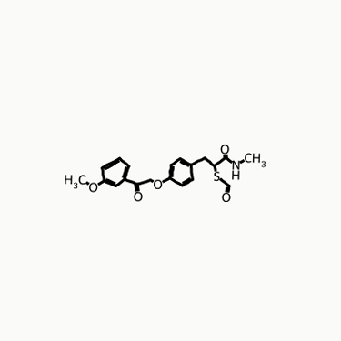 CNC(=O)C(Cc1ccc(OCC(=O)c2cccc(OC)c2)cc1)SC=O